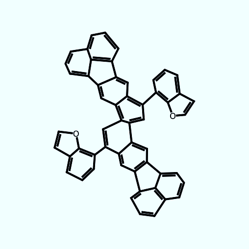 c1cc(-c2cc3c4cc5c(cc4c(-c4cccc6ccoc46)cc3c3cc4c(cc23)-c2cccc3cccc-4c23)-c2cccc3cccc-5c23)c2occc2c1